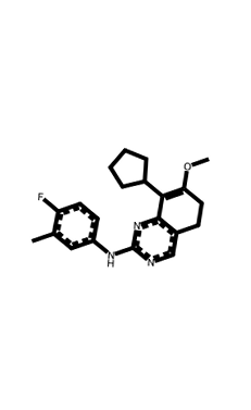 COC1=C(C2CCCC2)c2nc(Nc3ccc(F)c(C)c3)ncc2CC1